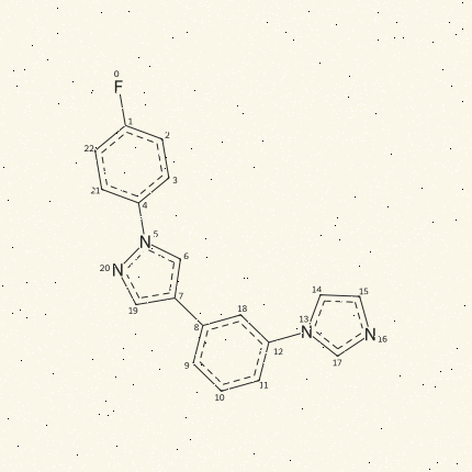 Fc1ccc(-n2cc(-c3cccc(-n4ccnc4)c3)cn2)cc1